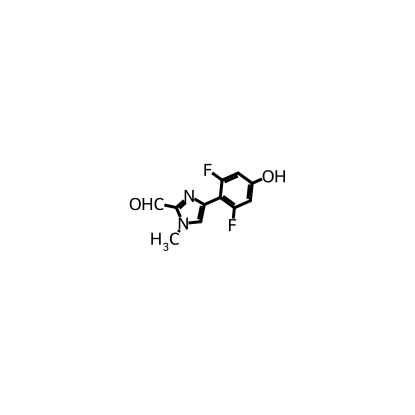 Cn1cc(-c2c(F)cc(O)cc2F)nc1C=O